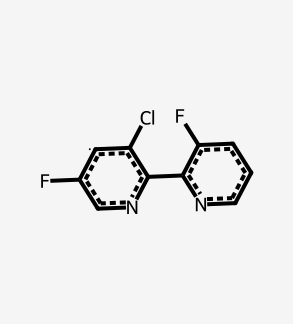 Fc1[c]c(Cl)c(-c2ncccc2F)nc1